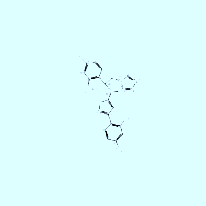 C[C@@H](c1cc(-c2ccc(Cl)cc2Cl)no1)[C@](O)(Cn1cnnn1)c1ccc(F)cc1F